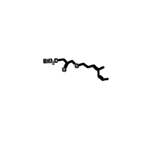 C/C=C\C(C)=C/CCOCC(=O)CC(=O)OCC